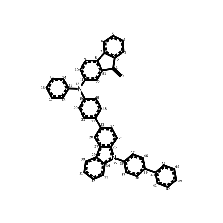 C=C1c2ccccc2-c2ccc(N(c3ccccc3)c3ccc(-c4ccc5c(c4)c4ccccc4n5-c4ccc(-c5ccccc5)cc4)cc3)cc21